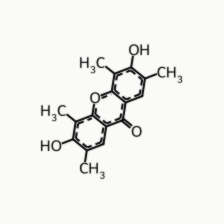 Cc1cc2c(=O)c3cc(C)c(O)c(C)c3oc2c(C)c1O